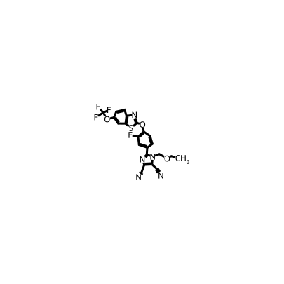 CCOCn1c(-c2ccc(Oc3nc4ccc(OC(F)(F)F)cc4s3)c(F)c2)nc(C#N)c1C#N